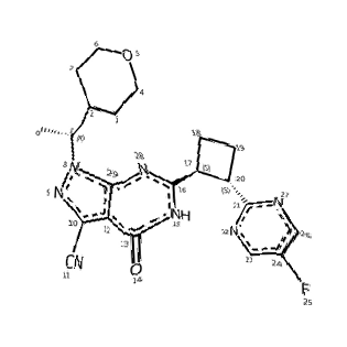 C[C@H](C1CCOCC1)n1nc(C#N)c2c(=O)[nH]c([C@H]3CC[C@@H]3c3ncc(F)cn3)nc21